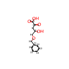 O=C(O)C(=O)CC(O)COCc1ccccc1